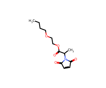 CCCCOCCOC(=O)C(C)N1C(=O)C=CC1=O